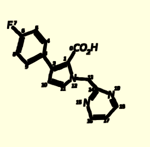 O=C(O)c1c(-c2ccc(F)cc2)ccn1Cc1ncccn1